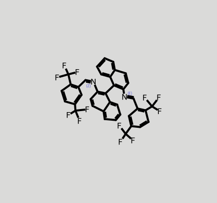 FC(F)(F)c1ccc(C(F)(F)F)c(/C=N\c2ccc3ccccc3c2-c2c(/N=C/c3cc(C(F)(F)F)ccc3C(F)(F)F)ccc3ccccc23)c1